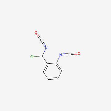 O=C=Nc1ccccc1C(Cl)N=C=O